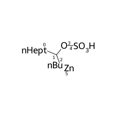 CCCCCCCC(CCCC)OS(=O)(=O)O.[Zn]